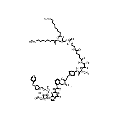 CCCCCCCCCCCCCCCCCC(=O)OC[C@H](COP(=O)(O)OCCNC(=O)CCCC(=O)N[C@H](C(=O)N[C@@H](C)C(=O)Nc1ccc(COC(=O)N(C)Cc2ccccc2C(=O)Nc2nc3c(ncn3[C@@H]3O[C@H](OP=O)[C@@H](O)[C@H]3O[PH](=O)OC[C@@H]3CCC(Oc4ccncn4)C3)c(=O)[nH]2)cc1)C(C)C)OC(=O)CCCCCCCCCCCCCCCCC